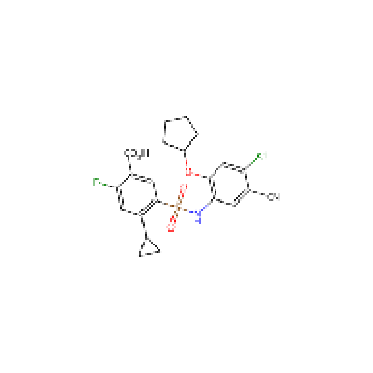 N#Cc1cc(NS(=O)(=O)c2cc(C(=O)O)c(F)cc2C2CC2)c(OC2CCCC2)cc1Cl